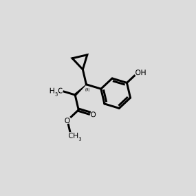 COC(=O)C(C)[C@H](c1cccc(O)c1)C1CC1